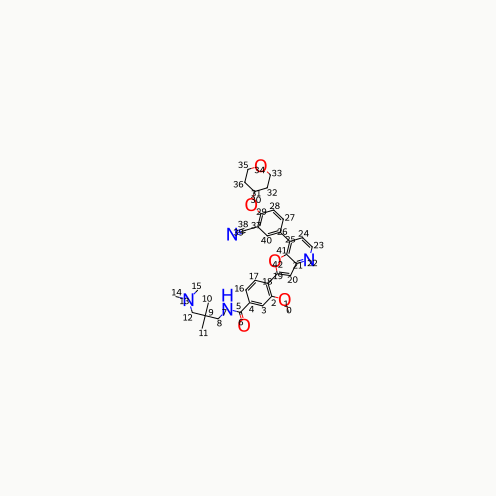 COc1cc(C(=O)NCC(C)(C)CN(C)C)ccc1-c1cc2nccc(-c3ccc(OC4CCOCC4)c(C#N)c3)c2o1